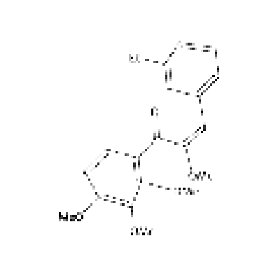 CCc1cccc(C=C(OC)C(=O)c2ccc(OC)c(OC)c2OC)c1